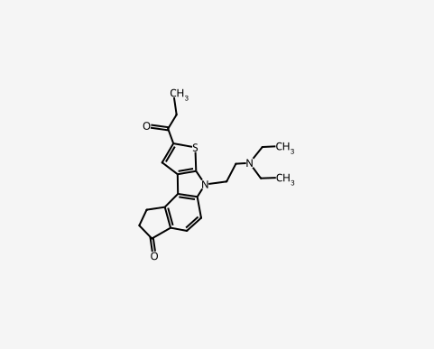 CCC(=O)c1cc2c3c4c(ccc3n(CCN(CC)CC)c2s1)C(=O)CC4